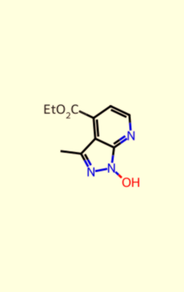 CCOC(=O)c1ccnc2c1c(C)nn2O